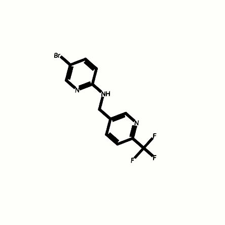 FC(F)(F)c1ccc(CNc2ccc(Br)cn2)cn1